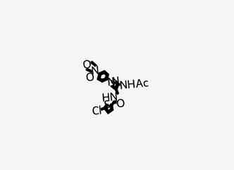 CC(=O)Nc1nn(-c2ccc(N3CCOCC3=O)cc2)cc1CNC(=O)c1ccc(Cl)s1